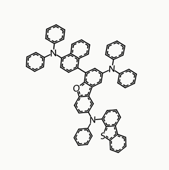 c1ccc(N(c2ccccc2)c2cc(-c3ccc(N(c4ccccc4)c4ccccc4)c4ccccc34)c3oc4ccc(N(c5ccccc5)c5cccc6c5sc5ccccc56)cc4c3c2)cc1